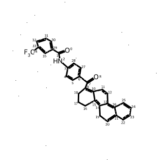 O=C(Nc1ccc(C(=O)C2=c3ccc4c(c3CCC2)CC=c2ccccc2=4)cc1)c1cccc(C(F)(F)F)c1